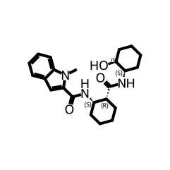 Cn1c(C(=O)N[C@H]2CCCC[C@H]2C(=O)N[C@H]2CCCC[C@@H]2O)cc2ccccc21